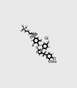 COc1cc(C(C)(C)c2cnc(SCc3c(F)cc(S(=O)(=O)NCCC[N+](C)(C)C)cc3F)n2-c2ccc(F)cc2)ccc1Cl.[Cl-]